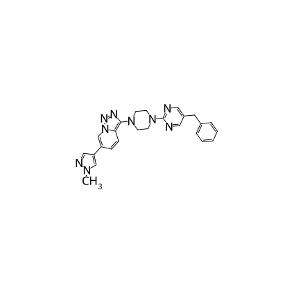 Cn1cc(-c2ccc3c(N4CCN(c5ncc(Cc6ccccc6)cn5)CC4)nnn3c2)cn1